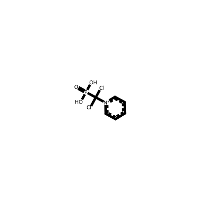 O=P(O)(O)C(Cl)(Cl)[n+]1ccccc1